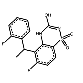 CC(c1ccccc1F)c1c(F)ccc2c1NC(O)=NS2(=O)=O